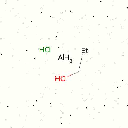 CCCO.Cl.[AlH3]